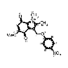 COC1=CC(=O)c2c(c(COc3ccc([N+](=O)[O-])cc3)c(C)n2C)C1=O